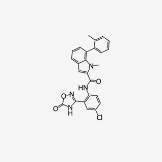 Cc1ccccc1-c1cccc2cc(C(=O)Nc3ccc(Cl)cc3-c3noc(=O)[nH]3)n(C)c12